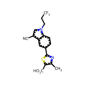 Cc1nc(-c2ccc3c(c2)c(C#N)cn3CCC(F)(F)F)sc1C(=O)O